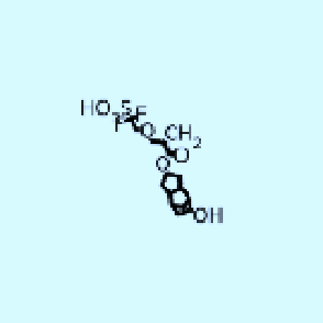 C=C(COCC(F)(F)S(=O)(=O)O)C(=O)OC1CC2C3CC(O)C(C3)C2C1